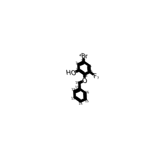 Oc1cc(Br)cc(F)c1OCc1ccccc1